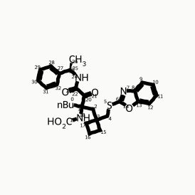 CCCCC(CC1(CSc2nc3ccccc3o2)CCC1)(NC(=O)O)C(=O)C(=O)N[C@H](C)c1ccccc1